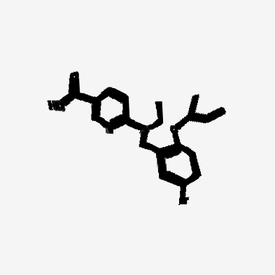 C=CC(C)Oc1ccc(Br)cc1CN(CC)c1ccc(C(=O)O)cn1